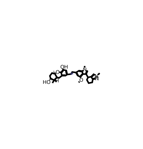 COc1cc(/C=C/c2cc(O)c3c(c2)C[C@@H]2C(C)(C)[C@H](O)CC[C@@]2(C)O3)cc2c1c(C1CCCc3nn(C)cc31)cn2C